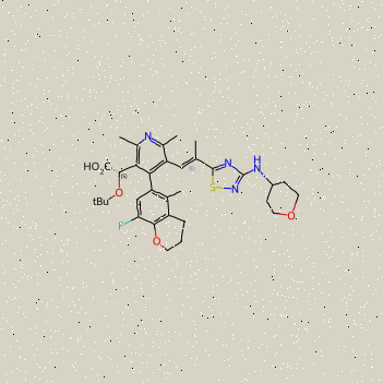 C/C(=C\c1c(C)nc(C)c([C@H](OC(C)(C)C)C(=O)O)c1-c1cc(F)c2c(c1C)CCCO2)c1nc(NC2CCOCC2)ns1